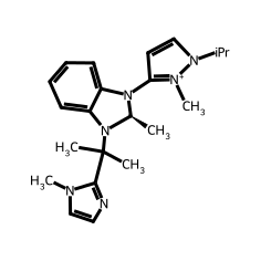 CC(C)n1ccc(N2c3ccccc3N(C(C)(C)c3nccn3C)[C@@H]2C)[n+]1C